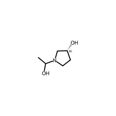 CC(O)N1CC[C@@H](O)C1